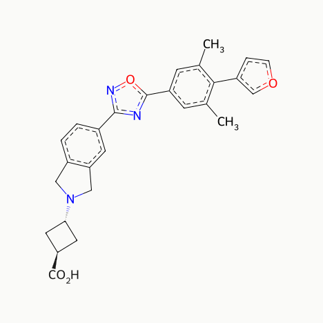 Cc1cc(-c2nc(-c3ccc4c(c3)CN([C@H]3C[C@H](C(=O)O)C3)C4)no2)cc(C)c1-c1ccoc1